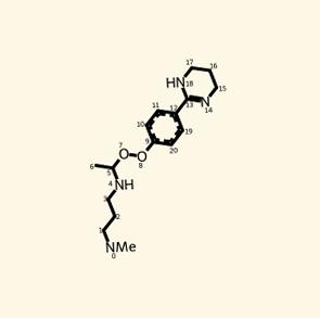 CNCCCNC(C)OOc1ccc(C2=NCCCN2)cc1